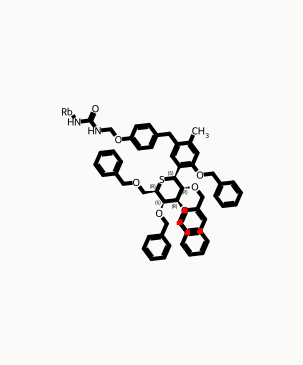 Cc1cc(OCc2ccccc2)c([C@@H]2S[C@H](COCc3ccccc3)[C@@H](OCc3ccccc3)[C@H](OCc3ccccc3)[C@H]2OCc2ccccc2)cc1Cc1ccc(OCNC(=O)[NH][Rb])cc1